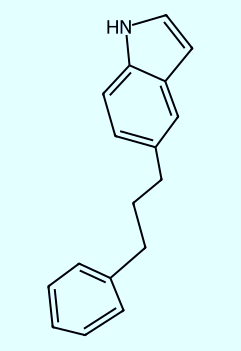 c1ccc(CCCc2ccc3[nH]ccc3c2)cc1